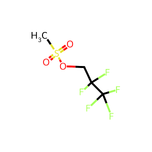 CS(=O)(=O)OCC(F)(F)C(F)(F)F